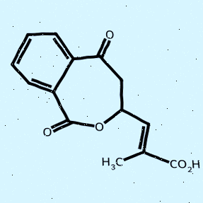 CC(=CC1CC(=O)c2ccccc2C(=O)O1)C(=O)O